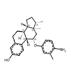 Cc1cc(O[C@H]2C[C@]3(C)[C@@H](C)CC[C@H]3[C@@H]3CCc4cc(O)ccc4[C@H]32)ccc1N